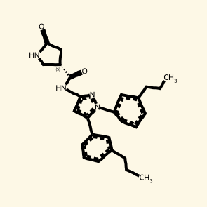 CCCc1cccc(-c2cc(NC(=O)[C@@H]3CNC(=O)C3)nn2-c2cccc(CCC)c2)c1